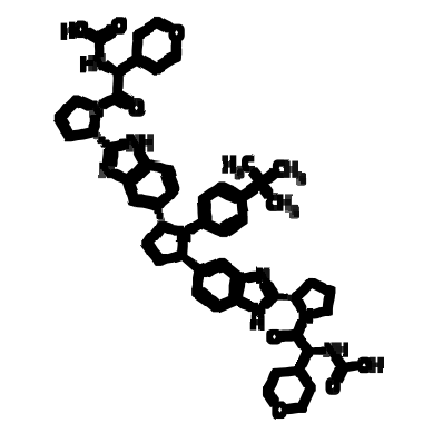 CC(C)(C)c1ccc(N2[C@@H](c3ccc4[nH]c([C@@H]5CCCN5C(=O)[C@@H](NC(=O)O)C5CCOCC5)nc4c3)CC[C@@H]2c2ccc3[nH]c([C@@H]4CCCN4C(=O)[C@@H](NC(=O)O)C4CCOCC4)nc3c2)cc1